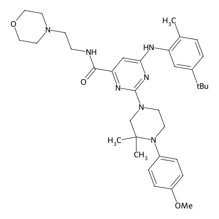 COc1ccc(N2CCN(c3nc(Nc4cc(C(C)(C)C)ccc4C)cc(C(=O)NCCN4CCOCC4)n3)CC2(C)C)cc1